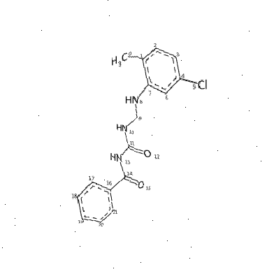 Cc1ccc(Cl)cc1NCNC(=O)NC(=O)c1ccccc1